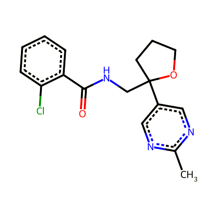 Cc1ncc(C2(CNC(=O)c3ccccc3Cl)CCCO2)cn1